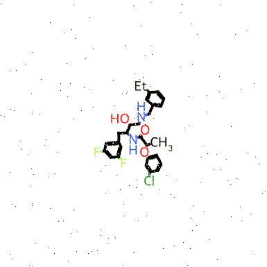 CCc1cccc(CNCC(O)C(Cc2cc(F)cc(F)c2)NC(=O)C(C)Oc2cccc(Cl)c2)c1